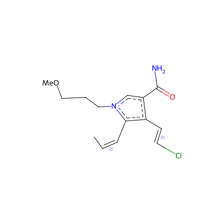 C/C=C\c1c(/C=C/Cl)c(C(N)=O)cn1CCCOC